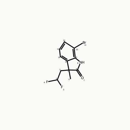 CC1(CC(F)F)C(=O)Nc2c(Br)cccc21